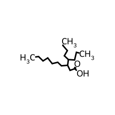 CCCCCCCC(CC(=O)O)C(CCC)CCCC